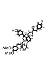 COc1cc2c(cc1OC)CC1(CCCCN1CCCC(CCCNC(=O)Cc1ccc(C)cc1)(c1ccccc1)c1ccccc1)CC2.Cl